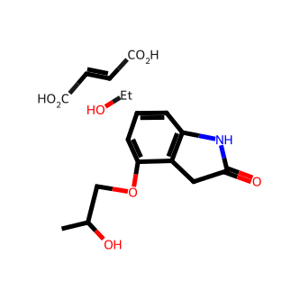 CC(O)COc1cccc2c1CC(=O)N2.CCO.O=C(O)C=CC(=O)O